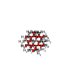 BBB(B(B)B)B(B(B(B)B)B(B)B)B(B(B(B(B)B)B(B)B)B(B(B)B)B(B)B)B(B(B(B(B)B)B(B)B)B(B(B)B)B(B)B)B(B(B(B)B)B(B)B)B(B(B)B)B(B)B